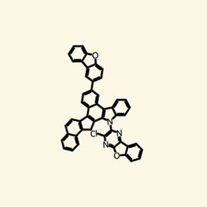 Clc1nc2oc3ccccc3c2nc1-n1c2ccccc2c2c3cc(-c4ccc5oc6ccccc6c5c4)ccc3c3c(c21)Cc1c-3ccc2ccccc12